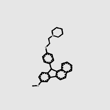 COc1ccc2c(c1)-c1ccc3ccccc3c1C2c1ccc(OCCN2CCCCC2)cc1